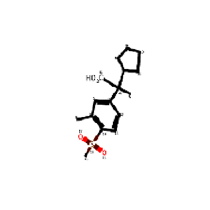 Cc1cc(C(C)(C(=O)O)C2CCCC2)ccc1S(C)(=O)=O